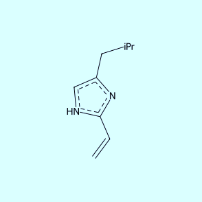 C=Cc1nc(CC(C)C)c[nH]1